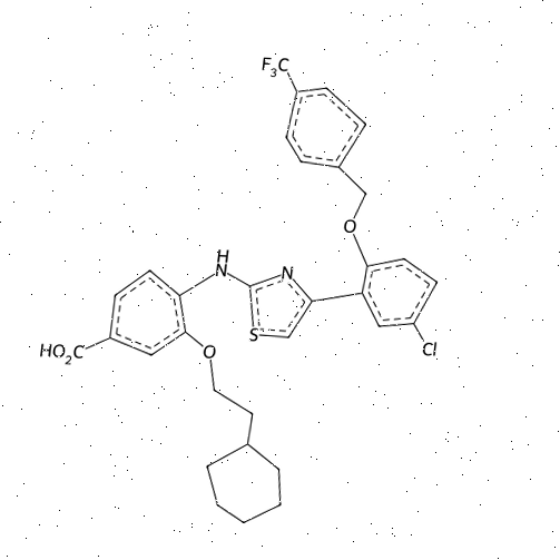 O=C(O)c1ccc(Nc2nc(-c3cc(Cl)ccc3OCc3ccc(C(F)(F)F)cc3)cs2)c(OCCC2CCCCC2)c1